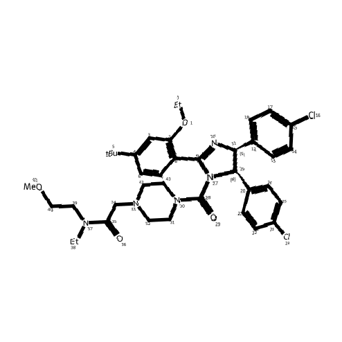 CCOc1cc(C(C)(C)C)ccc1C1=N[C@@H](c2ccc(Cl)cc2)[C@@H](c2ccc(Cl)cc2)N1C(=O)N1CCN(CC(=O)N(CC)CCOC)CC1